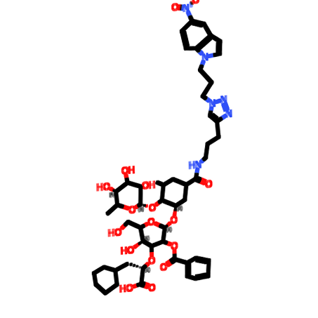 CC1CC(C(=O)NCCCc2cn(CCCn3ccc4cc([N+](=O)[O-])ccc43)nn2)C[C@@H](O[C@@H]2OC(CO)[C@H](O)C(O[C@@H](CC3CCCCC3)C(=O)O)C2OC(=O)c2ccccc2)C1O[C@@H]1OC(C)[C@@H](O)C(O)C1O